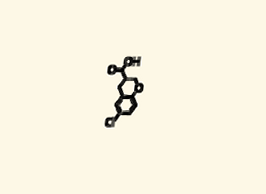 O=C(O)C1COc2ccc(Cl)cc2C1